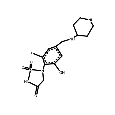 O=C1CN(c2c(O)cc(CNC3CCNCC3)cc2F)S(=O)(=O)N1